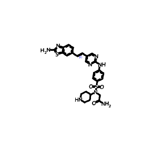 NC(=O)CN(C1CCNCC1)S(=O)(=O)c1ccc(Nc2ncc(/C=C/c3ccc4nc(N)sc4c3)cn2)cc1